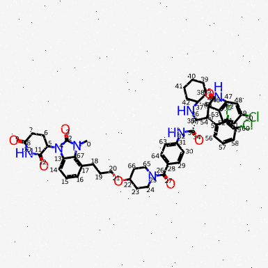 Cn1c(=O)n(C2CCC(=O)NC2=O)c2cccc(CCCOC3CCN(C(=O)c4ccc(NC(=O)[C@@H]5NC6(CCCCC6)[C@@]6(C(=O)Nc7cc(Cl)ccc76)[C@H]5c5cccc(Cl)c5F)cc4)CC3)c21